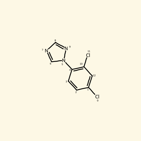 Clc1ccc(-n2cn[c]n2)c(Cl)c1